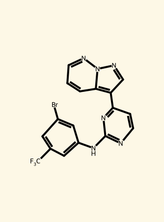 FC(F)(F)c1cc(Br)cc(Nc2nccc(-c3cnn4ncccc34)n2)c1